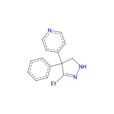 CCC1=NNCC1(c1ccccc1)c1ccncc1